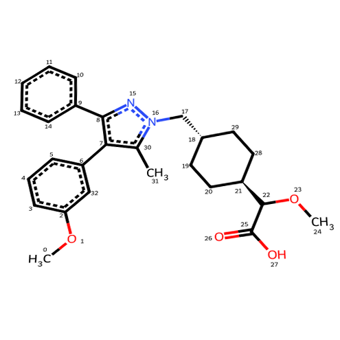 COc1cccc(-c2c(-c3ccccc3)nn(C[C@H]3CC[C@H](C(OC)C(=O)O)CC3)c2C)c1